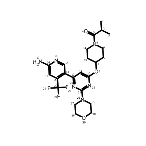 CC(C)C(=O)N1CCC(Oc2cc(-c3cnc(N)cc3C(F)(F)F)nc(N3CCOCC3)n2)CC1